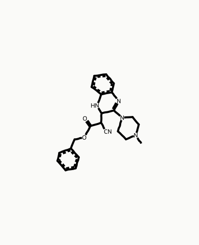 CN1CCN(C2=Nc3ccccc3NC2C(C#N)C(=O)OCc2ccccc2)CC1